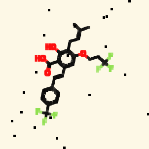 CC(C)=CCc1c(OCCC(F)(F)F)cc(C=Cc2ccc(C(F)(F)F)cc2)c(C(=O)O)c1O